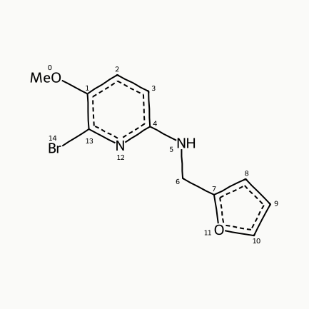 COc1ccc(NCc2ccco2)nc1Br